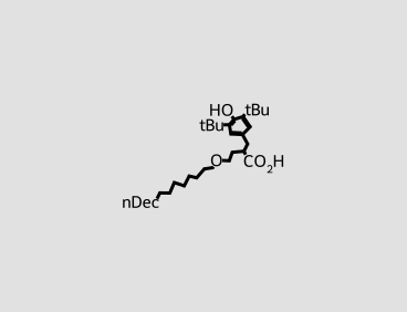 CCCCCCCCCCCCCCCCCCOCCC(Cc1cc(C(C)(C)C)c(O)c(C(C)(C)C)c1)C(=O)O